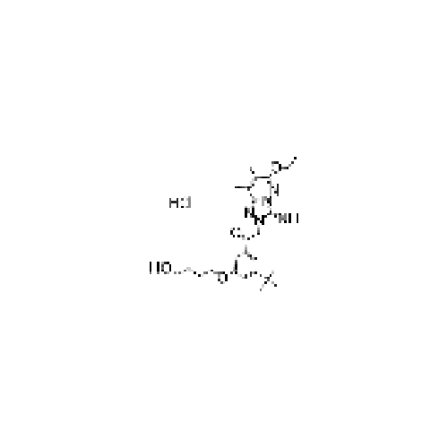 CCOc1nn2c(=N)n(CC(=O)c3cc(OCCCCO)cc(C(C)(C)C)c3)nc2c(C)c1C.Cl